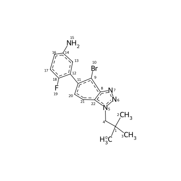 CC(C)(C)Cn1nnc2c(Br)c(-c3cc(N)ccc3F)ccc21